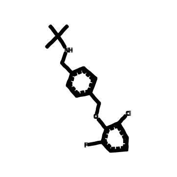 CC(C)(C)NCc1ccc(COc2c(F)cccc2Cl)cc1